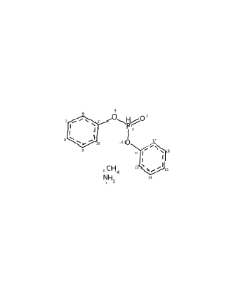 C.N.O=[PH](Oc1ccccc1)Oc1ccccc1